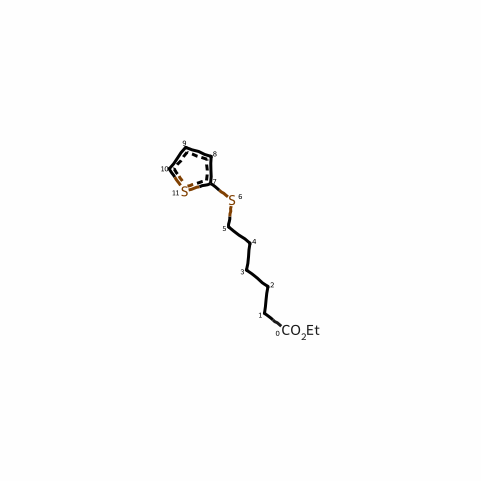 CCOC(=O)CCCCCSc1cccs1